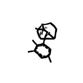 Cc1cc(C)c(C)c(N2C3CCCN(CC3)[C@@H]2C)c1